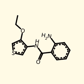 CCOc1cscc1NC(=O)c1ccccc1N